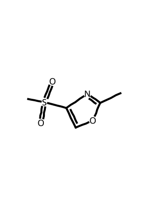 Cc1nc(S(C)(=O)=O)co1